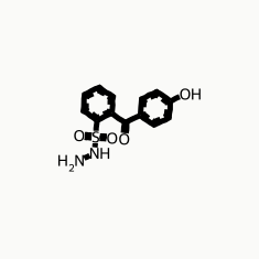 NNS(=O)(=O)c1ccccc1C(=O)c1ccc(O)cc1